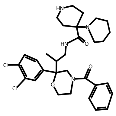 CC(CNC(=O)C1(N2CCCCC2)CCNCC1)C1(c2ccc(Cl)c(Cl)c2)CN(C(=O)c2ccccc2)CCO1